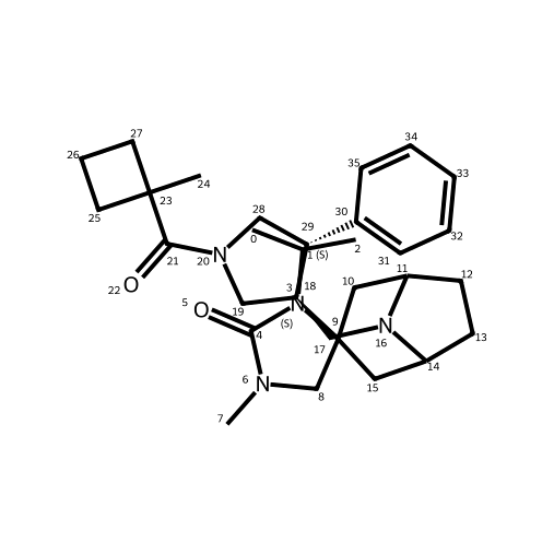 CC(C)N1C(=O)N(C)CC12CC1CCC(C2)N1C[C@H]1CN(C(=O)C2(C)CCC2)C[C@@H]1c1ccccc1